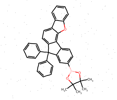 CC1(C)OB(c2ccc3c(c2)C(c2ccccc2)(c2ccccc2)c2ccc4c(oc5ccccc54)c2-3)OC1(C)C